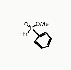 CCCP(=O)(OC)c1ccccc1